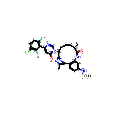 Cc1[nH]c2nc1-c1ccc(NC(=O)O)cc1NC(=O)[C@H](C)CCC[C@@H]2n1cnc(-c2c(F)ccc(Cl)c2F)cc1=O